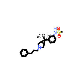 CC(=O)O.CC1(c2cccc(NS(C)(=O)=O)c2)C2CN(CCCc3ccccc3)CC21